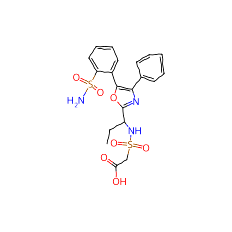 CCC(NS(=O)(=O)CC(=O)O)c1nc(-c2ccccc2)c(-c2ccccc2S(N)(=O)=O)o1